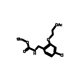 CC(=O)OCCOc1cc(Cl)ccc1CNC(=O)OC(C)(C)C